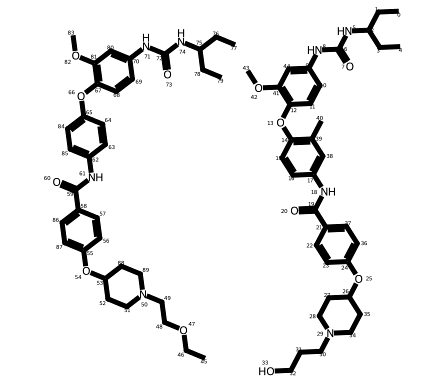 CCC(CC)NC(=O)Nc1ccc(Oc2ccc(NC(=O)c3ccc(OC4CCN(CCCO)CC4)cc3)cc2C)c(OC)c1.CCOCCN1CCC(Oc2ccc(C(=O)Nc3ccc(Oc4ccc(NC(=O)NC(CC)CC)cc4OC)cc3)cc2)CC1